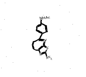 CC(=O)Nc1ccc(-c2ccc3nc(N)sc3n2)cc1